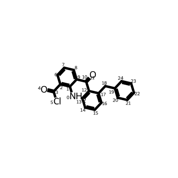 Nc1c(C(=O)Cl)cccc1C(=O)c1ccccc1Cc1ccccc1